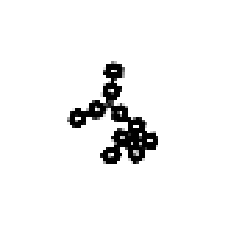 c1ccc(-c2ccc(N(c3ccc(-c4ccccc4)cc3)c3ccc(-c4ccc5c(c4)C4(c6ccccc6-5)c5ccccc5-c5c(-c6ccccc6)cccc54)cc3)cc2)cc1